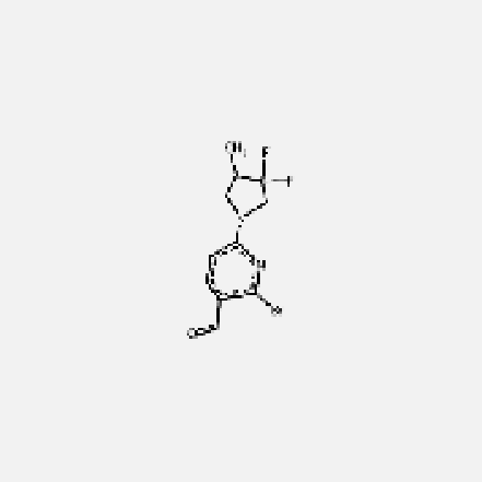 CC1CN(c2ccc(C=O)c(Br)n2)CC1(F)F